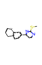 CSc1nccc(-c2ccc3c(c2)[C]CCC3)n1